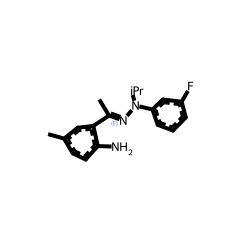 C/C(=N\N(c1cccc(F)c1)C(C)C)c1cc(C)ccc1N